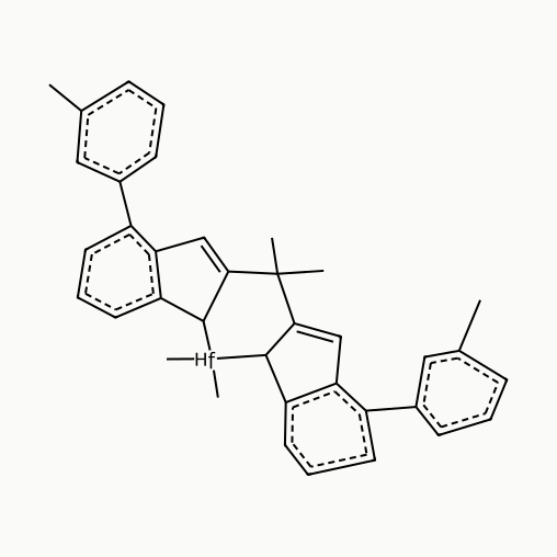 Cc1cccc(-c2cccc3c2C=C2[CH]3[Hf]([CH3])([CH3])[CH]3C(=Cc4c(-c5cccc(C)c5)cccc43)C2(C)C)c1